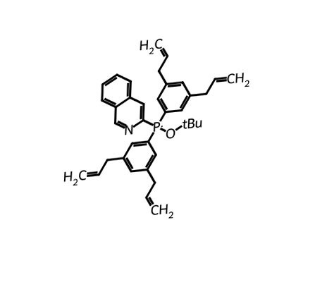 C=CCc1cc(CC=C)cc([P](OC(C)(C)C)(c2cc(CC=C)cc(CC=C)c2)c2cc3ccccc3cn2)c1